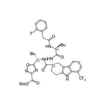 CCC(C)[C@H](NC(=O)Cc1ccccc1F)C(=O)N[C@@]1(C(=O)N[C@H](c2nc(C(=O)OC)no2)C(C)CC)CCc2[nH]c3c(C(F)(F)F)cccc3c2C1